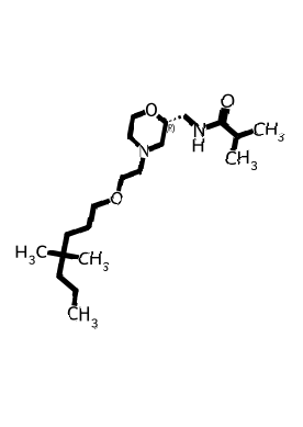 CCCC(C)(C)CCCOCCN1CCO[C@H](CNC(=O)C(C)C)C1